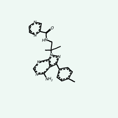 Cc1ccc(-c2nn(C(C)(C)CNC(=O)c3cnccn3)c3ncnc(N)c23)cc1